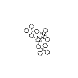 c1ccc(S(c2ccccc2)(c2ccccc2)c2cccc(-c3nc(-c4cccc(S(c5ccccc5)(c5ccccc5)c5ccccc5)c4)nc(-n4c5ccccc5n5c6ccccc6nc45)n3)c2)cc1